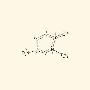 Cn1cc([N+](=O)[O-])ccc1=O